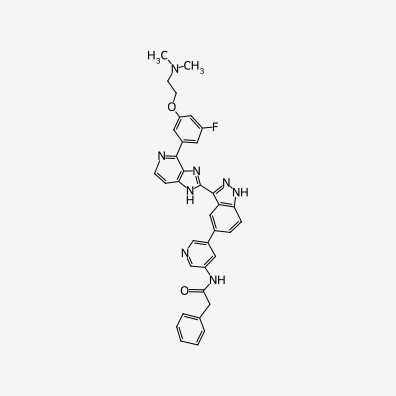 CN(C)CCOc1cc(F)cc(-c2nccc3[nH]c(-c4n[nH]c5ccc(-c6cncc(NC(=O)Cc7ccccc7)c6)cc45)nc23)c1